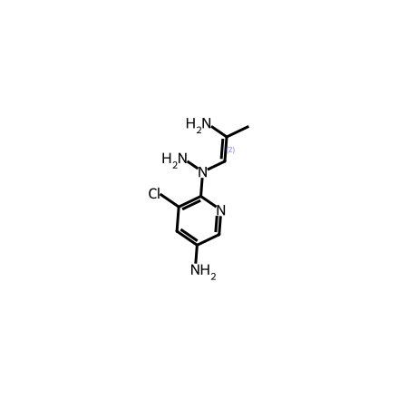 C/C(N)=C/N(N)c1ncc(N)cc1Cl